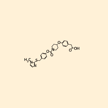 Cn1ccnc1SCc1ccc(OC(=O)N2CCC(Oc3ccc(CC(=O)O)cc3)CC2)cc1